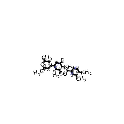 C=C/C=C(\C=C/CN)C(=O)NC/C(F)=C\C(=C/C=C)N1CC(C)OC(C)C1